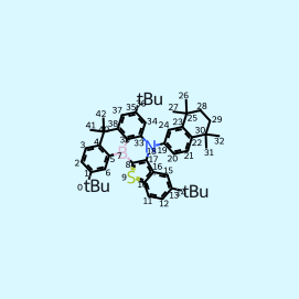 CC(C)(C)c1ccc2c(c1)B1c3sc4ccc(C(C)(C)C)cc4c3N(c3ccc4c(c3)C(C)(C)CCC4(C)C)c3cc(C(C)(C)C)cc(c31)C2(C)C